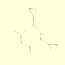 C(OCC1CO1)C1CO1.CC(O)CCO